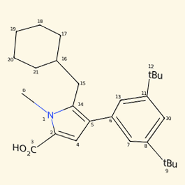 Cn1c(C(=O)O)cc(-c2cc(C(C)(C)C)cc(C(C)(C)C)c2)c1CC1CCCCC1